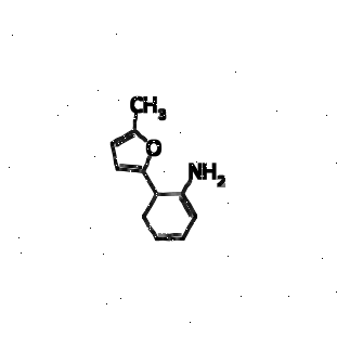 Cc1ccc(C2CC=CC=C2N)o1